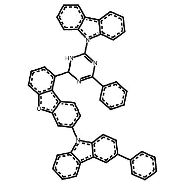 c1ccc(C2=NC(c3cccc4oc5cc(-n6c7ccccc7c7cc(-c8ccccc8)ccc76)ccc5c34)NC(n3c4ccccc4c4ccccc43)=N2)cc1